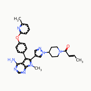 C/C=C/C(=O)N1CCC(n2cc(-c3c(-c4ccc(Oc5cccc(C)n5)cc4)c4c(N)ncnc4n3C)cn2)CC1